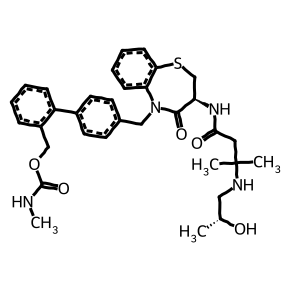 CNC(=O)OCc1ccccc1-c1ccc(CN2C(=O)[C@H](NC(=O)CC(C)(C)NC[C@@H](C)O)CSc3ccccc32)cc1